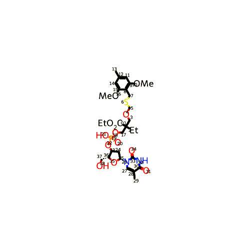 CCOC(=O)C(CC)(COCSCc1c(OC)cc(C)cc1OC)COP(=O)(O)OC1C[C@H](n2cc(C)c(=O)[nH]c2=O)O[C@@H]1CO